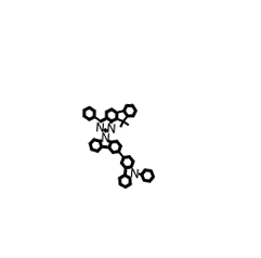 CC1(C)c2ccccc2-c2ccc3c(-c4ccccc4)nc(-n4c5ccccc5c5cc(-c6ccc7c(c6)c6ccccc6n7-c6ccccc6)ccc54)nc3c21